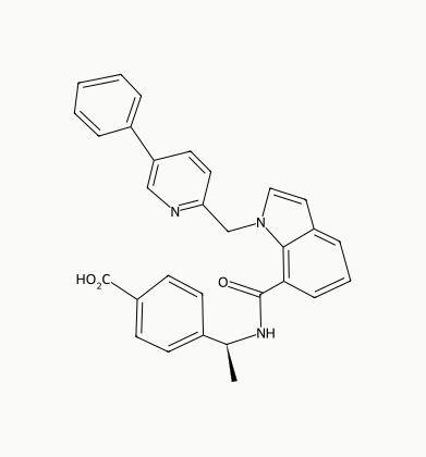 C[C@H](NC(=O)c1cccc2ccn(Cc3ccc(-c4ccccc4)cn3)c12)c1ccc(C(=O)O)cc1